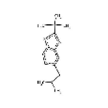 CC(C)Cc1ccc2sc(C(C)(C)C)nc2c1